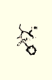 CCC(C(=O)O)N(C)S(=O)(=O)c1ccccc1